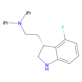 CC(C)N(CC[C@H]1CNc2cccc(F)c21)C(C)C